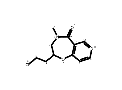 CN1CC(CCCl)Oc2ccncc2C1=O